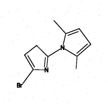 Cc1ccc(C)n1C1=NC(Br)=CC1